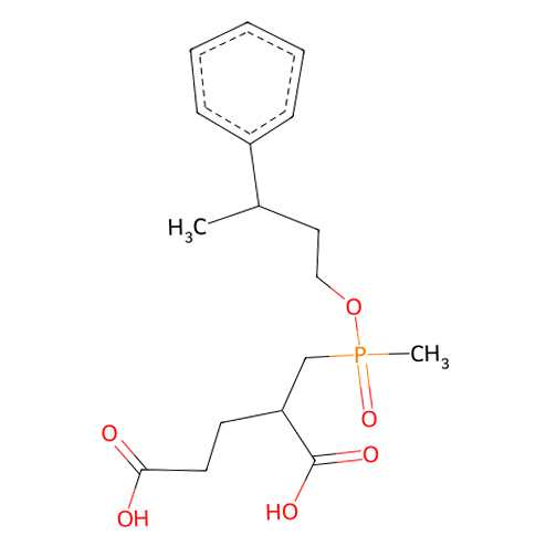 CC(CCOP(C)(=O)CC(CCC(=O)O)C(=O)O)c1ccccc1